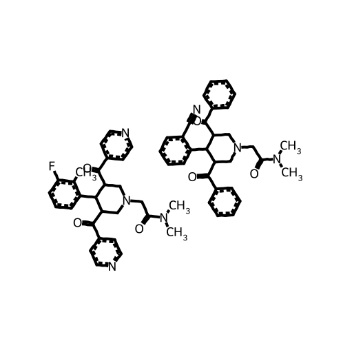 CN(C)C(=O)CN1CC(C(=O)c2ccccc2)C(c2ccccc2C#N)C(C(=O)c2ccccc2)C1.Cc1c(F)cccc1C1C(C(=O)c2ccncc2)CN(CC(=O)N(C)C)CC1C(=O)c1ccncc1